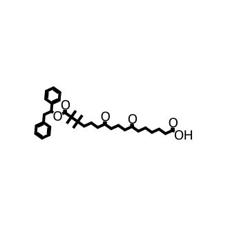 CC(C)(CCCC(=O)CCCC(=O)CCCCCC(=O)O)C(C)(C)C(=O)OC(Cc1ccccc1)c1ccccc1